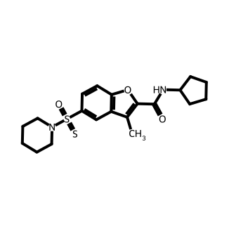 Cc1c(C(=O)NC2CCCC2)oc2ccc(S(=O)(=S)N3CCCCC3)cc12